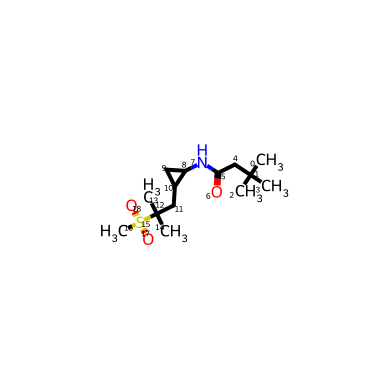 CC(C)(C)CC(=O)NC1CC1CC(C)(C)S(C)(=O)=O